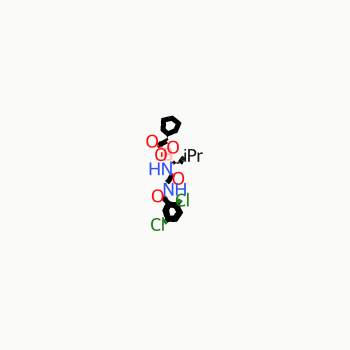 CC(C)C[C@H](NC(=O)CNC(=O)c1cc(Cl)ccc1Cl)B1OC(=O)[C@H](C2CCCCC2)O1